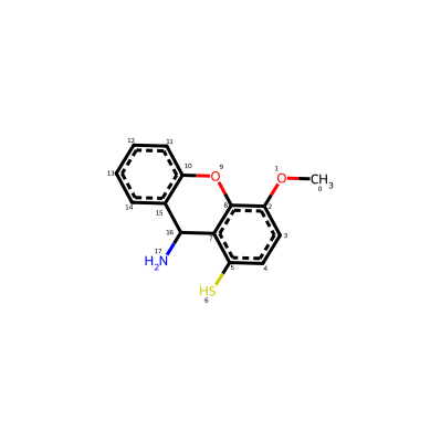 COc1ccc(S)c2c1Oc1ccccc1C2N